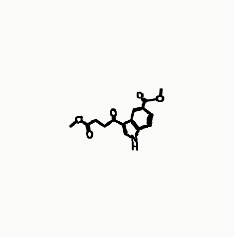 COC(=O)CCC(=O)c1c[nH]c2ccc(C(=O)OC)cc12